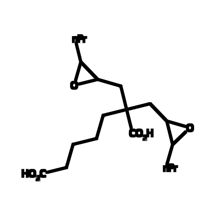 CCCC1OC1CC(CCCCC(=O)O)(CC1OC1CCC)C(=O)O